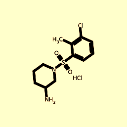 Cc1c(Cl)cccc1S(=O)(=O)N1CCCC(N)C1.Cl